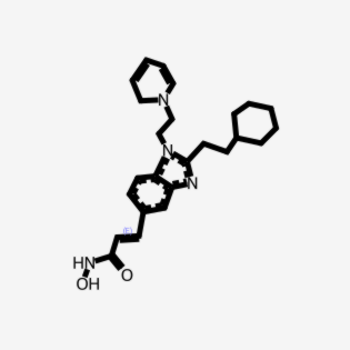 O=C(/C=C/c1ccc2c(c1)nc(CCC1CCCCC1)n2CCN1C=CC=CC1)NO